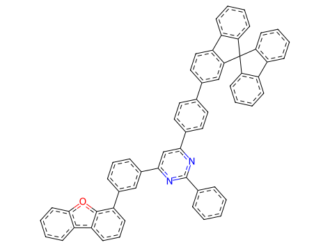 c1ccc(-c2nc(-c3ccc(-c4ccc5c(c4)C4(c6ccccc6-c6ccccc64)c4ccccc4-5)cc3)cc(-c3cccc(-c4cccc5c4oc4ccccc45)c3)n2)cc1